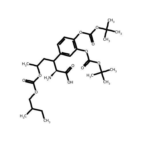 CCC(C)COC(=O)OC(C)CC(c1ccc(OC(=O)OC(C)(C)C)c(OC(=O)OC(C)(C)C)c1)[C@H](N)C(=O)O